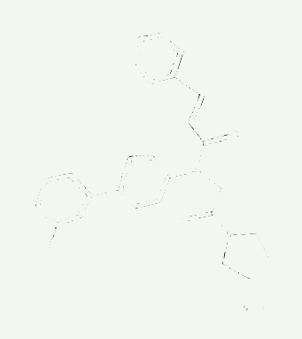 N[C@H]1CCN(C(=O)CN(C(=O)/C=C/c2ccccc2)c2ccc(-c3cccc(C(=O)O)c3)cc2)C1